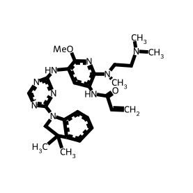 C=CC(=O)Nc1cc(Nc2ncnc(N3CC(C)(C)c4ccccc43)n2)c(OC)nc1N(C)CCN(C)C